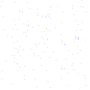 COC(=O)N1CC(c2nc(-c3cc(F)c(C)c(NC(=O)c4cnc5ccc(N6CCN(C)CC6)cn45)c3)no2)C1